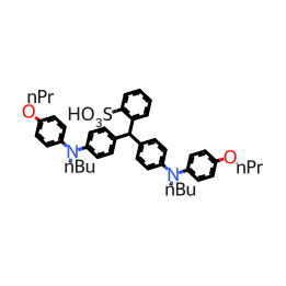 CCCCN(c1ccc(OCCC)cc1)c1ccc(C(c2ccc(N(CCCC)c3ccc(OCCC)cc3)cc2)c2ccccc2S(=O)(=O)O)cc1